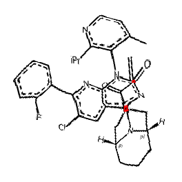 C=CC(=O)N1C[C@H]2CCC[C@@H](C1)N2c1nc(=O)n(-c2c(C)ccnc2C(C)C)c2nc(-c3ccccc3F)c(Cl)cc12